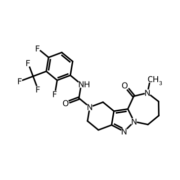 CN1CCCn2nc3c(c2C1=O)CN(C(=O)Nc1ccc(F)c(C(F)(F)F)c1F)CC3